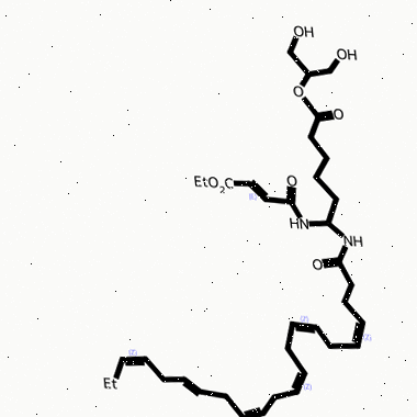 CC/C=C\CC=CC/C=C\C/C=C\C/C=C\C/C=C\CCC(=O)NC(CCCCC(=O)OC(CO)CO)NC(=O)/C=C/C(=O)OCC